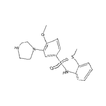 COc1ccc(S(=O)(=O)Nc2ccccc2SC)cc1N1CCNCC1